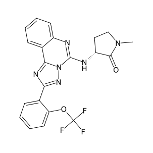 CN1CC[C@@H](Nc2nc3ccccc3c3nc(-c4ccccc4OC(F)(F)F)nn23)C1=O